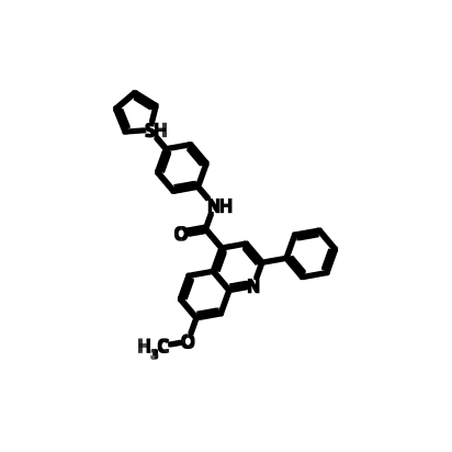 COc1ccc2c(C(=O)Nc3ccc([SH]4C=CC=C4)cc3)cc(-c3ccccc3)nc2c1